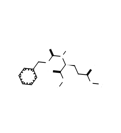 CN(C(=O)OCc1ccccc1)[C@@H](CCC(=O)OC(C)(C)C)C(=O)OC(C)(C)C